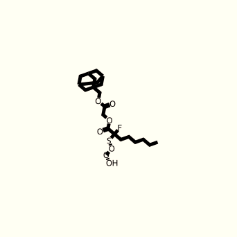 CCCCCCC(F)(SOOO)C(=O)OCC(=O)OCC12CC3CC(CC(C3)C1)C2